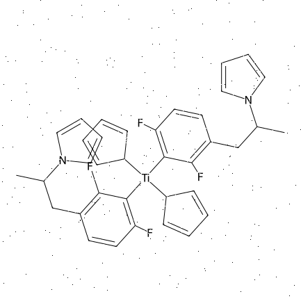 CC(Cc1ccc(F)[c]([Ti]([c]2c(F)ccc(CC(C)n3cccc3)c2F)([CH]2C=CC=C2)[CH]2C=CC=C2)c1F)n1cccc1